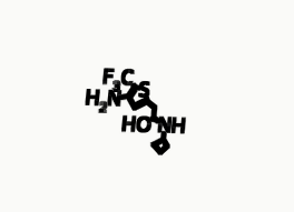 Nc1cc(CC(O)NC2CCC2)sc1C(F)(F)F